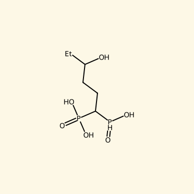 CCC(O)CCC([PH](=O)O)P(=O)(O)O